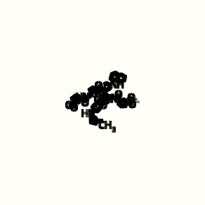 CCc1cccc(NC2CCN(S(=O)(=O)c3ccc(CNC(=O)c4cccc([N+](=O)[O-])c4)s3)CC2)c1.O=C(NCc1ccc(S(=O)(=O)N2CCC(Nc3cccc4c3CCCC4)CC2)s1)c1cccc([N+](=O)[O-])c1